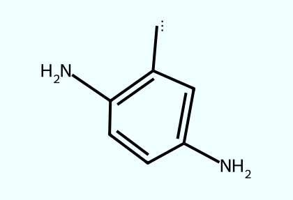 [C]c1cc(N)ccc1N